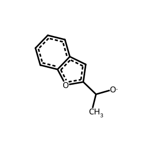 CC([O])c1cc2ccccc2o1